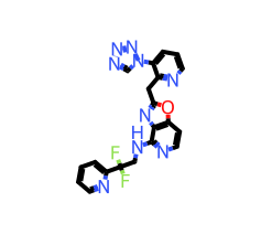 FC(F)(CNc1nccc2oc(Cc3ncccc3-n3cnnn3)nc12)c1ccccn1